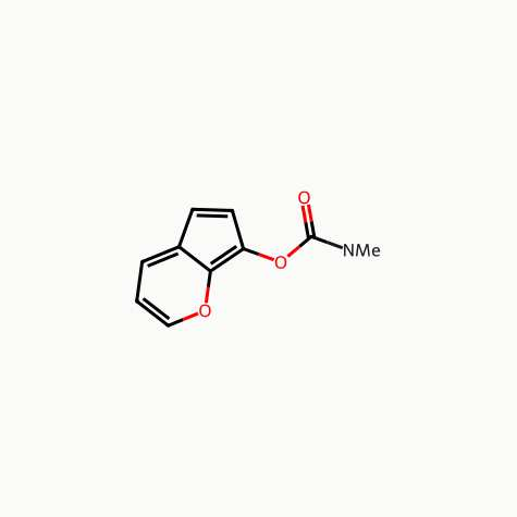 CNC(=O)Oc1ccc2cccoc1-2